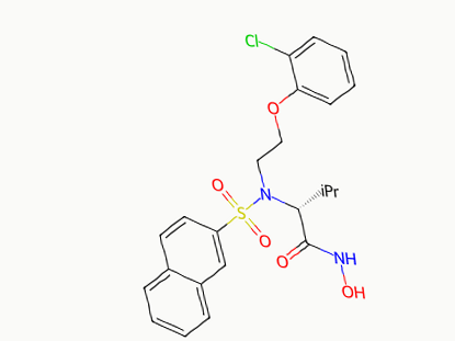 CC(C)[C@H](C(=O)NO)N(CCOc1ccccc1Cl)S(=O)(=O)c1ccc2ccccc2c1